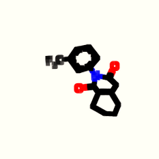 O=C1CC2=C(CCCC2)C(=O)N1c1cccc(C(F)(F)F)c1